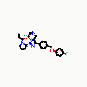 C=CC(=O)N1CCC[C@H]1c1nc(-c2ccc(COc3ccc(F)cc3)cc2)c2cnccn12